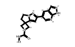 CCNC(=O)N1CC2(CCn3nc(-c4cnc5[nH]ncc5c4)cc32)C1